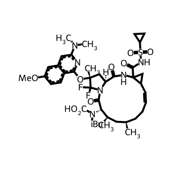 CCC(C)N(C(=O)O)[C@@H]1C(=O)N2[C@@H](C[C@@](C)(Oc3nc(N(C)C)cc4cc(OC)ccc34)C2(F)F)C(=O)NC2(C(=O)NS(=O)(=O)C3CC3)CC2/C=C\CC[C@@H](C)C[C@H]1C